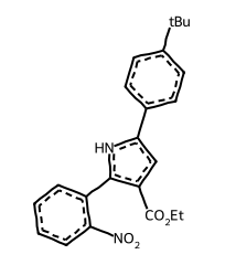 CCOC(=O)c1cc(-c2ccc(C(C)(C)C)cc2)[nH]c1-c1ccccc1[N+](=O)[O-]